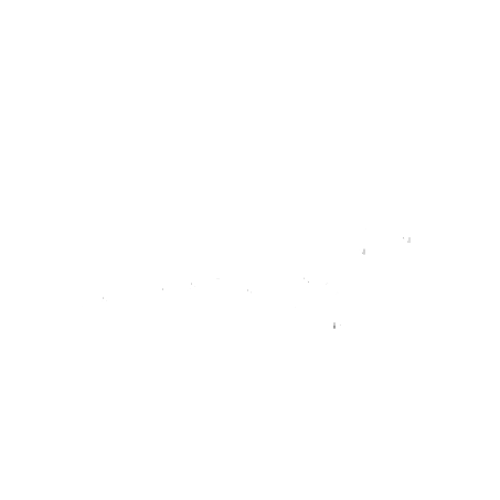 CC(C)CC(NC(=O)CNC(=O)C(N)Cc1ccccc1)C(=O)NCC(=O)N1CC2(CCN(C3CCOCC3)CC2)C1